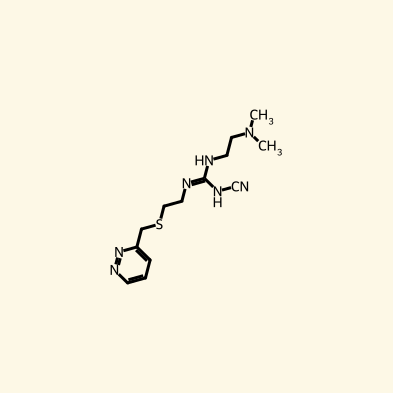 CN(C)CCN/C(=N/CCSCc1cccnn1)NC#N